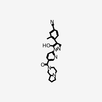 Cc1cc(C#N)ccc1-c1cnn(-c2ccc(C(=O)N3CCN4CCCC4C3)cn2)c1O